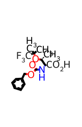 C[C@@H](OC(C)(C)C(F)(F)F)[C@H](NC(=O)OCc1ccccc1)C(=O)O